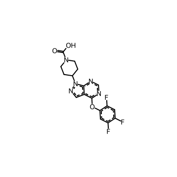 O=C(O)N1CCC(n2ncc3c(Oc4cc(F)c(F)cc4F)ncnc32)CC1